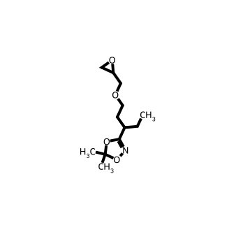 CCC(CCOCC1CO1)C1=NOC(C)(C)O1